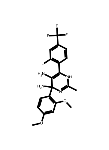 COc1ccc(C2(N)N=C(C)NC(c3ccc(C(F)(F)F)cc3F)=C2N)c(OC)c1